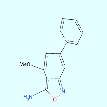 COc1cc(-c2ccccc2)cc2noc(N)c12